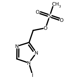 CS(=O)(=O)OCc1ncn(I)n1